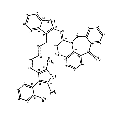 C=C1c2ccccc2SN2/C(=C/c3[nH]c4ccccc4c3C/C=C/C=C\c3c(C)[nH]c(C)c3-c3ccccc3C)CBc3cccc1c32